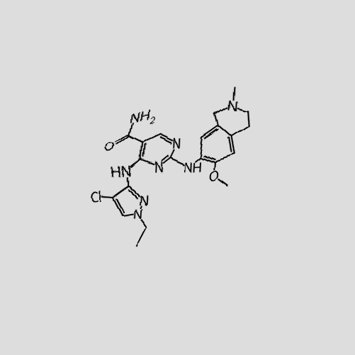 CCn1cc(Cl)c(Nc2nc(Nc3cc4c(cc3OC)CCN(C)C4)ncc2C(N)=O)n1